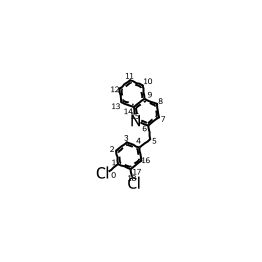 Clc1ccc(Cc2ccc3ccccc3n2)cc1Cl